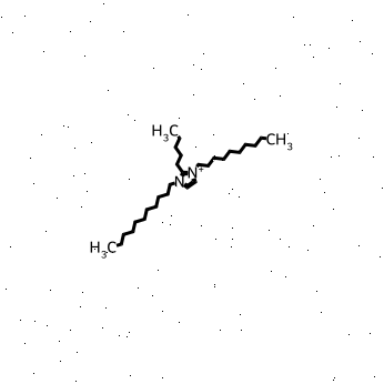 CCCCCCCCCCCn1cc[n+](CCCCCCCCCC)c1CCCCC